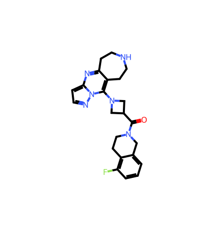 O=C(C1CN(c2c3c(nc4ccnn24)CCNCC3)C1)N1CCc2c(F)cccc2C1